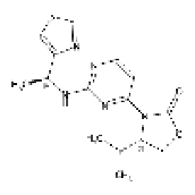 CC(C)[C@H]1COC(=O)N1c1ccnc(N[C@@H](C)c2cscn2)n1